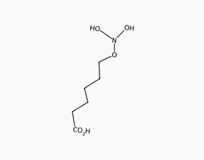 O=C(O)CCCCCON(O)O